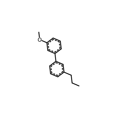 CCCc1cccc(-c2cccc(OC)c2)c1